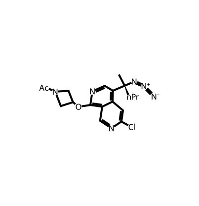 CCC[C@@](C)(N=[N+]=[N-])c1cnc(OC2CN(C(C)=O)C2)c2cnc(Cl)cc12